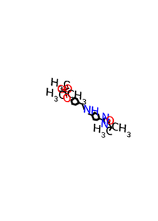 COC(=O)C(C)(C)Oc1ccc(CCNCc2ccc(-c3noc(C(C)C)n3)cc2)cc1